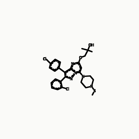 CSN1CCN(c2cc(OCC(C)(C)O)nc3c(-c4ccc(Cl)cc4)c(-c4ccccc4Cl)nn23)CC1